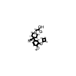 COc1ccc(C2(C#N)CCN(CC(=O)O)CC2)cc1OC1CCC1